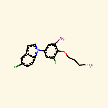 O=C(O)CCCOc1c(F)cc(-n2ccc3cc(F)ccc32)cc1P